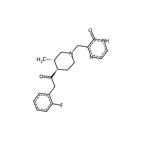 C[C@@H]1CN(Cc2ncc[nH]c2=O)CC[C@H]1C(=O)Cc1ccccc1F